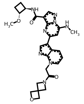 CNc1cc(-c2cnc3n(CC(=O)N4CC5(COC5)C4)cccc2-3)nc2c(C(=O)N[C@@H]3CC[C@H]3OC)cnn12